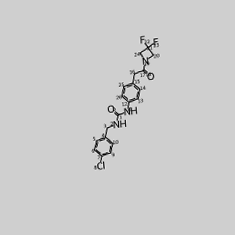 O=C(NCc1ccc(Cl)cc1)Nc1ccc(CC(=O)N2CC(F)(F)C2)cc1